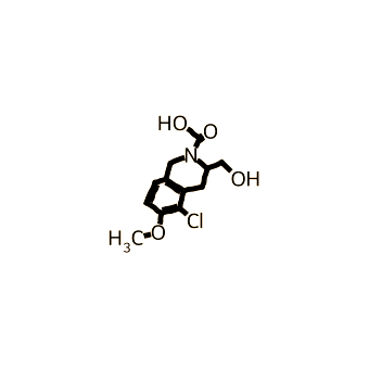 COc1ccc2c(c1Cl)CC(CO)N(C(=O)O)C2